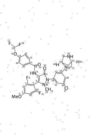 COc1cc(F)c(-c2c(NC(=O)c3ccc(OC(F)F)cc3)c(=O)n(-c3cc(Cl)cc(N4C[C@H]5C[C@@H]4CN5)c3)n2C)c(F)c1